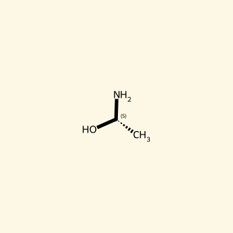 C[C@@H](N)O